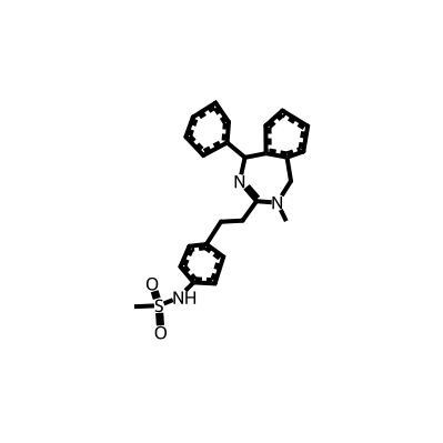 CN1Cc2ccccc2C(c2ccccc2)N=C1CCc1ccc(NS(C)(=O)=O)cc1